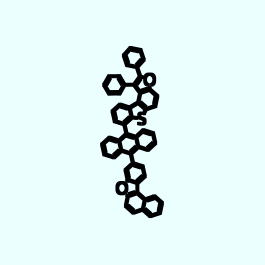 c1ccc(-c2oc3ccc4sc5c(-c6c7ccccc7c(-c7ccc8c(c7)oc7ccc9ccccc9c78)c7ccccc67)cccc5c4c3c2-c2ccccc2)cc1